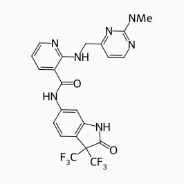 CNc1nccc(CNc2ncccc2C(=O)Nc2ccc3c(c2)NC(=O)C3(C(F)(F)F)C(F)(F)F)n1